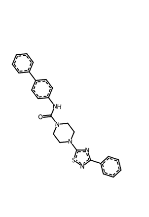 O=C(Nc1ccc(-c2ccccc2)cc1)N1CCN(c2nc(-c3ccccc3)ns2)CC1